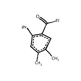 CCC(=O)c1cc(C)c(C)cc1C(C)C